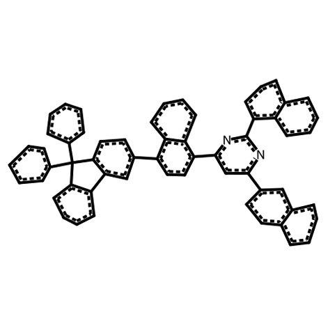 c1ccc(C2(c3ccccc3)c3ccccc3-c3cc(-c4ccc(-c5cc(-c6ccc7ccccc7c6)nc(-c6cccc7ccccc67)n5)c5ccccc45)ccc32)cc1